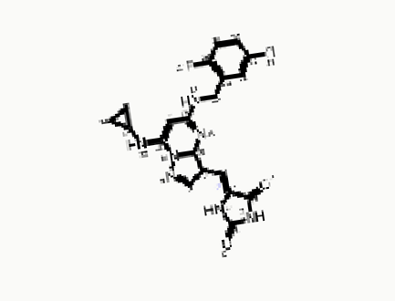 O=C1NC(=O)/C(=C/C2C=NN3C(NC4CC4)=CC(NCc4cc(Cl)ccc4F)=NC23)N1